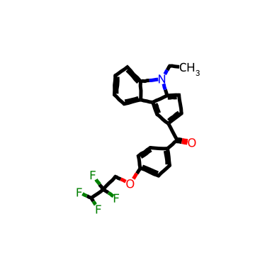 CCn1c2ccccc2c2cc(C(=O)c3ccc(OCC(F)(F)C(F)F)cc3)ccc21